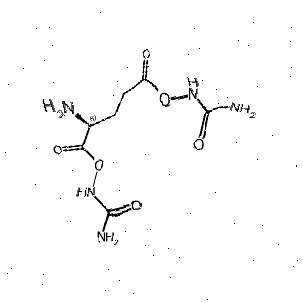 NC(=O)NOC(=O)CC[C@H](N)C(=O)ONC(N)=O